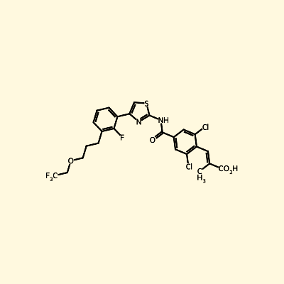 CC(=Cc1c(Cl)cc(C(=O)Nc2nc(-c3cccc(CCCOCC(F)(F)F)c3F)cs2)cc1Cl)C(=O)O